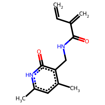 C=CC(=C)C(=O)NCc1c(C)cc(C)[nH]c1=O